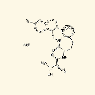 COc1ccc2cc(Br)ccc2c1CN1C(=O)C(NC(=O)[C@@H](N)[C@H](C)O)CCc2ccccc21.Cl